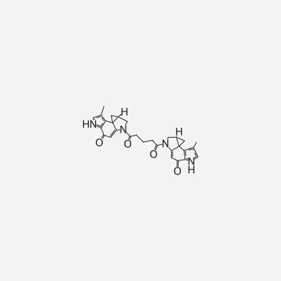 Cc1c[nH]c2c1C13C[C@@H]1CN(C(=O)CCCC(=O)N1C[C@H]4CC45C1=CC(=O)c1[nH]cc(C)c15)C3=CC2=O